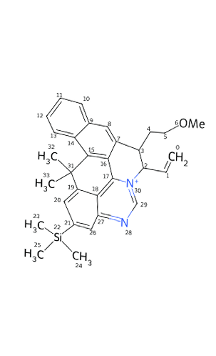 C=CC1C(CCOC)c2cc3ccccc3c3c2-c2c4c(cc([Si](C)(C)C)cc4nc[n+]21)C3(C)C